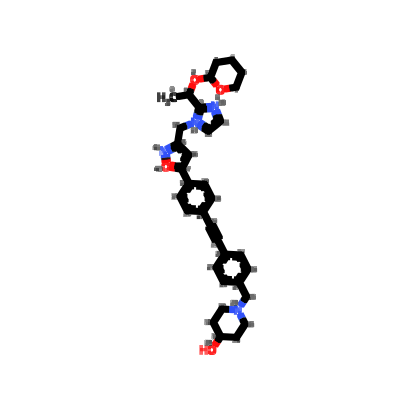 CC(OC1CCCCO1)c1nccn1Cc1cc(-c2ccc(C#Cc3ccc(CN4CCC(O)CC4)cc3)cc2)on1